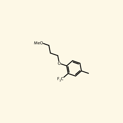 COCCCOc1ccc(C)cc1C(F)(F)F